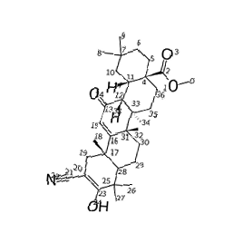 COC(=O)[C@]12CCC(C)(C)C[C@H]1[C@H]1C(=O)C=C3[C@@]4(C)CC(C#N)=C(O)C(C)(C)C4CC[C@@]3(C)[C@]1(C)CC2